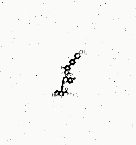 CN1CCC(c2ccc(-c3cc(F)c4c(c3)C(=O)N(C(CC#CC#Cc3c(C(N)=O)cnc5[nH]ccc35)c3cc(F)ccc3F)C4)cc2)CC1